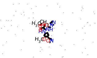 COc1cc(NC(NCCn2ccnc2)=C2C(=O)OC(C)(C)OC2=O)ccc1-c1cnco1